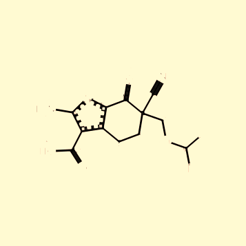 N#CC1(COC(F)F)CCc2c(sc(N)c2C(=O)O)C1=O